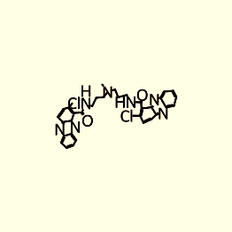 CN(CCCNC(=O)c1c(Cl)ccc2nc3ccccc3nc12)CCCNC(=O)c1c(Cl)ccc2nc3ccccc3nc12